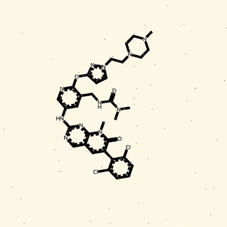 CN1CCN(CCn2ccc(Oc3ncc(Nc4ncc5cc(-c6c(Cl)cccc6Cl)c(=O)n(C)c5n4)cc3CNC(=O)N(C)C)n2)CC1